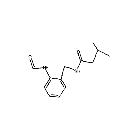 CC(C)CC(=O)NCc1ccccc1NC=O